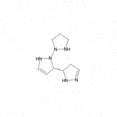 [C]1=CC(C2CC=NN2)N(N2CCCN2)N1